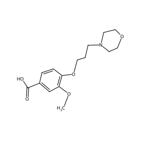 COc1cc(C(=O)O)ccc1OCCCN1CCOCC1